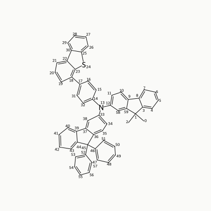 CC1(C)c2ccccc2-c2ccc(N(c3ccc(-c4cccc5c4sc4ccccc45)cc3)c3ccc4c(c3)-c3ccccc3C4(c3ccccc3)c3ccccc3)cc21